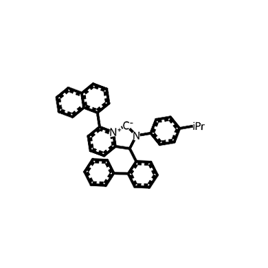 CC(C)c1ccc(N2[CH-][n+]3c(-c4cccc5ccccc45)cccc3C2c2ccccc2-c2ccccc2)cc1